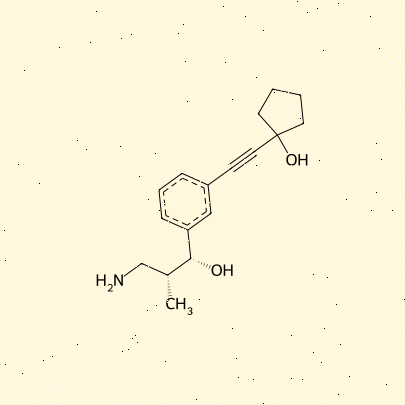 C[C@H](CN)[C@@H](O)c1cccc(C#CC2(O)CCCC2)c1